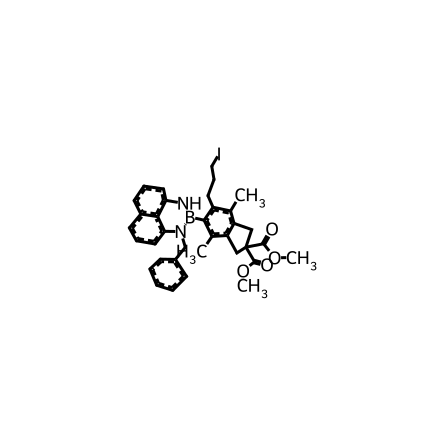 COC(=O)C1(C(=O)OC)Cc2c(C)c(CCCI)c(B3Nc4cccc5cccc(c45)N3Cc3ccccc3)c(C)c2C1